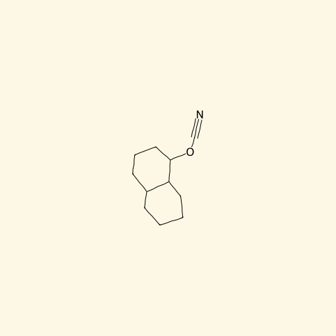 N#COC1CCCC2CCCCC21